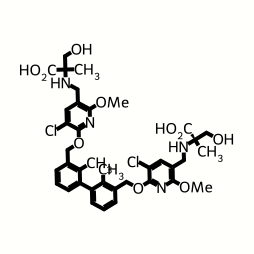 COc1nc(OCc2cccc(-c3cccc(COc4nc(OC)c(CN[C@@](C)(CO)C(=O)O)cc4Cl)c3C)c2C)c(Cl)cc1CNC(C)(CO)C(=O)O